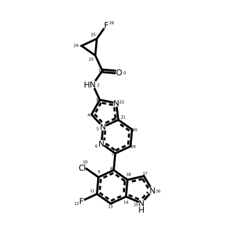 O=C(Nc1cn2nc(-c3c(Cl)c(F)cc4[nH]ncc34)ccc2n1)C1CC1F